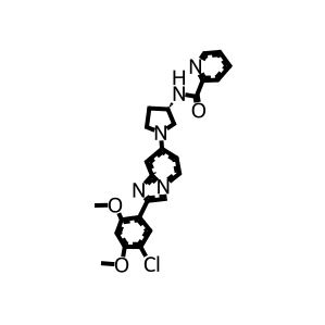 COc1cc(OC)c(-c2cn3ccc(N4CC[C@H](NC(=O)c5ccccn5)C4)cc3n2)cc1Cl